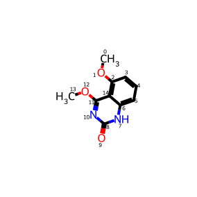 COc1cccc2[nH]c(=O)nc(OC)c12